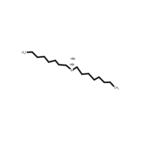 Br.Br.CCCCCCC[CH2][Sn][CH2]CCCCCCC